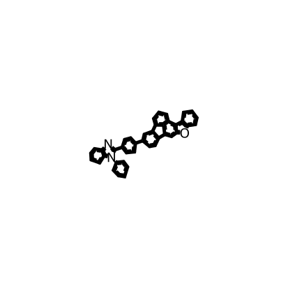 c1ccc(-n2c(-c3ccc(-c4ccc5c(c4)-c4cccc6c4c-5cc4oc5ccccc5c46)cc3)nc3ccccc32)cc1